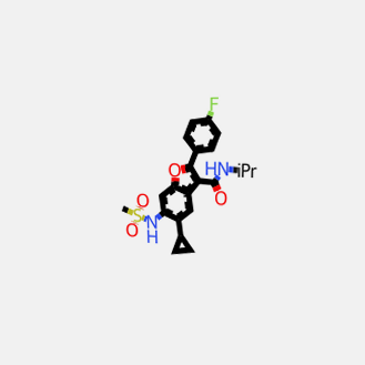 CC(C)NC(=O)c1c(-c2ccc(F)cc2)oc2cc(NS(C)(=O)=O)c(C3CC3)cc12